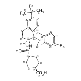 CC(F)(c1ccc2c(c1)CC[C@@H]1N(C(=O)[C@H]3CC[C@H](C(=O)O)CC3)CC[C@]21Cc1ccc(F)cc1)C(F)(F)F